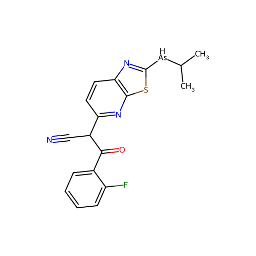 CC(C)[AsH]c1nc2ccc(C(C#N)C(=O)c3ccccc3F)nc2s1